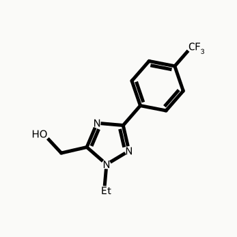 CCn1nc(-c2ccc(C(F)(F)F)cc2)nc1CO